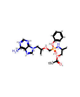 CC(COC(=O)C(C)(C)C)NP(=O)(COC(C)Cn1cnc2c(N)ncnc21)Oc1ccccc1